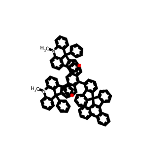 CN1c2ccccc2C(c2ccccc2)(c2ccccc2)c2c(-c3cccc4c(-c5cccc6c5-c5ccccc5C65c6ccccc6-c6c5c5ccccc5c5ccccc65)c5cccc(-c6cccc7c6C(c6ccccc6)(c6ccccc6)c6ccccc6N7C)c5cc34)cccc21